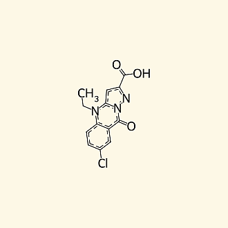 CCn1c2ccc(Cl)cc2c(=O)n2nc(C(=O)O)cc12